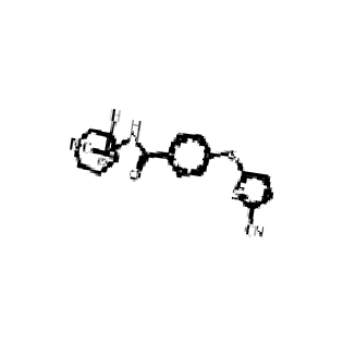 N#Cc1ccc(Sc2ccc(C(=O)N[C@H]3CN4CCC3CC4)cc2)s1